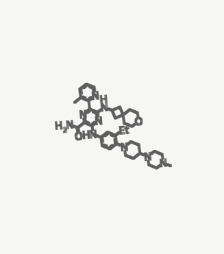 CCc1cc(Nc2nc(NC3CC4(CCOCC4)C3)c(-c3ncccc3C)nc2C(N)=O)ccc1N1CCC(N2CCN(C)CC2)CC1